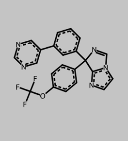 FC(F)(F)Oc1ccc(C2(c3cccc(-c4cncnc4)c3)N=Cn3ccnc32)cc1